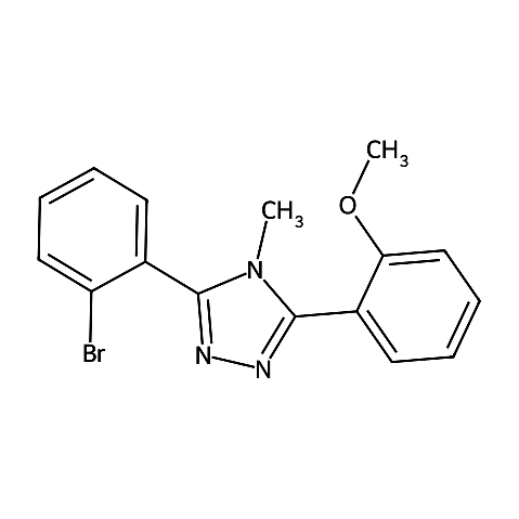 COc1ccccc1-c1nnc(-c2ccccc2Br)n1C